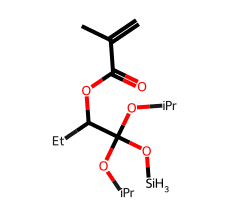 C=C(C)C(=O)OC(CC)C(O[SiH3])(OC(C)C)OC(C)C